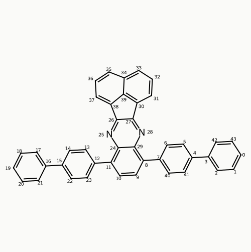 c1ccc(-c2ccc(-c3ccc(-c4ccc(-c5ccccc5)cc4)c4nc5c(nc34)-c3cccc4cccc-5c34)cc2)cc1